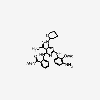 CNC(=O)c1ccccc1Nc1nc(Nc2cccc(N)c2OC)nc2c1c(C)nn2C1CCCCO1